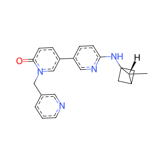 C[C@@H]1C2CC1(Nc1ccc(-c3ccc(=O)n(Cc4cccnc4)c3)cn1)C2